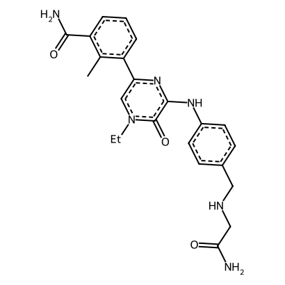 CCn1cc(-c2cccc(C(N)=O)c2C)nc(Nc2ccc(CNCC(N)=O)cc2)c1=O